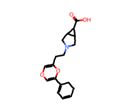 O=C(O)C1C2CN(CCC3=COC=C(C4=CC=CCC4)O3)CC21